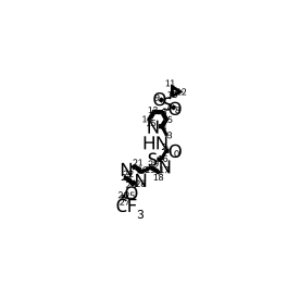 O=C(NCc1cc(S(=O)(=O)C2CC2)ccn1)c1ncc(-c2cncc(OCC(F)(F)F)n2)s1